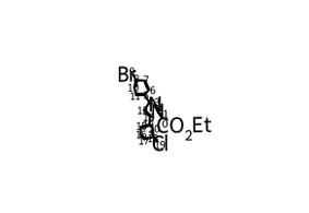 CCOC(=O)Cn1nc(-c2ccc(Br)cc2)cc1-c1cccc(Cl)c1